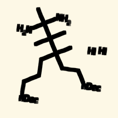 CCCCCCCCCCCCCC(C)(CCCCCCCCCCCC)C(C)(C)C(C)(N)N.I.I